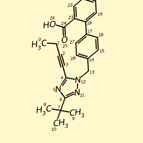 CCC#Cc1nc(C(C)(C)C)nn1Cc1ccc(-c2ccccc2C(=O)O)cc1